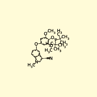 COc1cc(Oc2ccc3c(c2)c(C#N)cn3C)cc(OC)c1OP(C(C)(C)C)C(C)(C)C